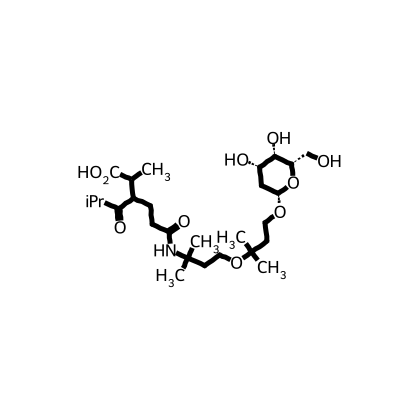 CC(C)C(=O)C(CCC(=O)NC(C)(C)CCOC(C)(C)CCO[C@@H]1C[C@H](O)[C@H](O)[C@H](CO)O1)C(C)C(=O)O